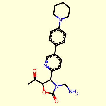 CC(=O)C1OC(=O)N(CN)C1c1ccc(-c2ccc(N3CCCCC3)cc2)cn1